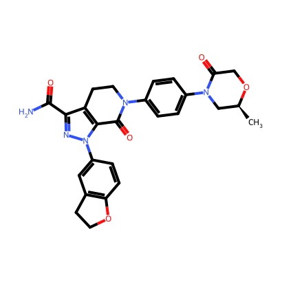 C[C@H]1CN(c2ccc(N3CCc4c(C(N)=O)nn(-c5ccc6c(c5)CCO6)c4C3=O)cc2)C(=O)CO1